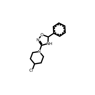 ClC1CCN(C2=NOC(c3ccccc3)N2)CC1